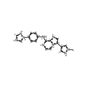 Cn1cc(-c2cnc3c(Nc4ccc(-n5cncn5)cc4)nccn23)cn1